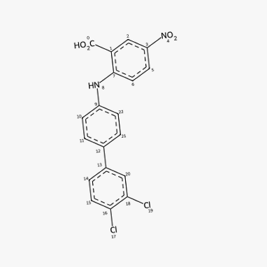 O=C(O)c1cc([N+](=O)[O-])ccc1Nc1ccc(-c2ccc(Cl)c(Cl)c2)cc1